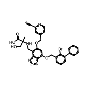 CC(CO)(NCc1c(OCc2ccnc(C#N)c2)cc(OCc2cccc(-c3ccccc3)c2Br)c2nonc12)C(=O)O